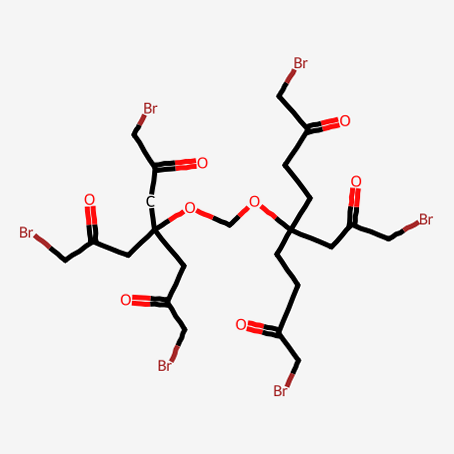 O=C(CBr)CCC(CCC(=O)CBr)(CC(=O)CBr)OCOC(CC(=O)CBr)(CC(=O)CBr)CC(=O)CBr